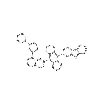 c1ccc(-c2cccc(-c3cccc4ccc(-c5c6ccccc6c(-c6ccc7c(c6)oc6ccccc67)c6ccccc56)cc34)c2)cc1